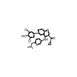 CN(C)Cc1ccc(Nc2c(C(=O)C3CC3)cnc3ccc(-c4cc(Cl)c(O)c(Cl)c4)cc23)cn1